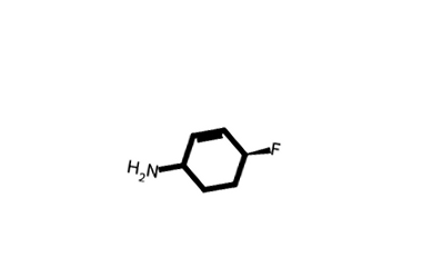 NC1C=C[C@@H](F)CC1